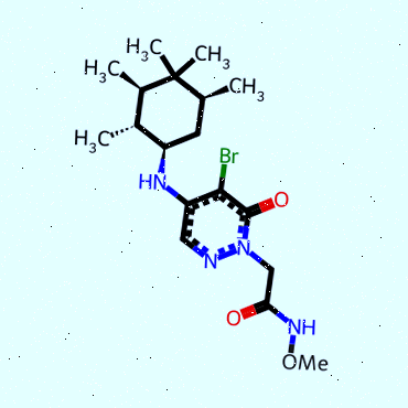 CONC(=O)Cn1ncc(N[C@@H]2C[C@H](C)C(C)(C)[C@H](C)[C@H]2C)c(Br)c1=O